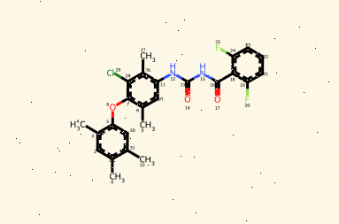 Cc1cc(C)c(Oc2c(C)cc(NC(=O)NC(=O)c3c(F)cccc3F)c(C)c2Cl)cc1C